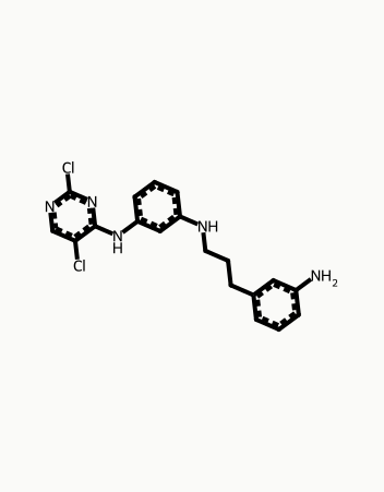 Nc1cccc(CCCNc2cccc(Nc3nc(Cl)ncc3Cl)c2)c1